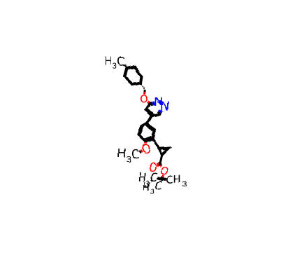 COc1ccc(-c2cnnc(OC[C@H]3CC[C@H](C)CC3)c2)cc1C1CC1C(=O)OC(C)(C)C